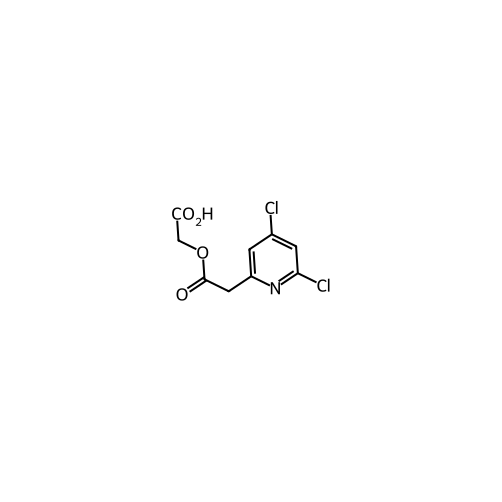 O=C(O)COC(=O)Cc1cc(Cl)cc(Cl)n1